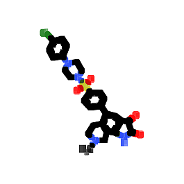 CN1CCc2c(-c3ccc(S(=O)(=O)N4CCN(c5ccc(Cl)cc5)CC4)cc3)cc3c(c2C1)NC(=O)C3=O